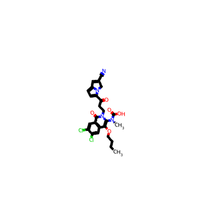 CCCCOc1c(N(C)C(=O)O)n(CCC(=O)c2ccc3n2CC(C#N)=C3)c(=O)c2cc(Cl)c(Cl)cc12